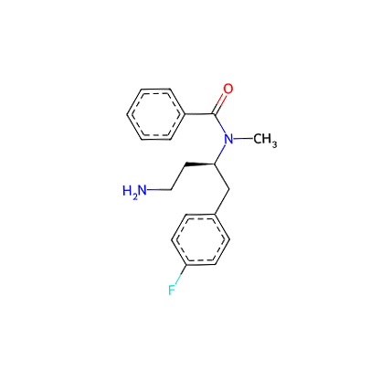 CN(C(=O)c1ccccc1)[C@H](CCN)Cc1ccc(F)cc1